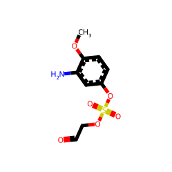 COc1ccc(OS(=O)(=O)OCC=O)cc1N